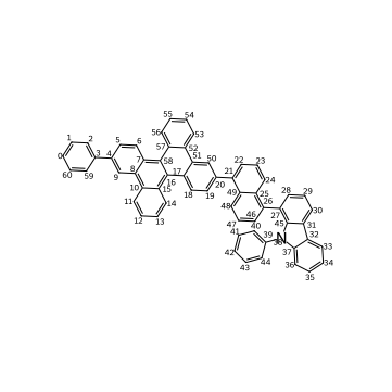 c1ccc(-c2ccc3c(c2)c2ccccc2c2c4ccc(-c5cccc6c(-c7cccc8c9ccccc9n(-c9ccccc9)c78)cccc56)cc4c4ccccc4c32)cc1